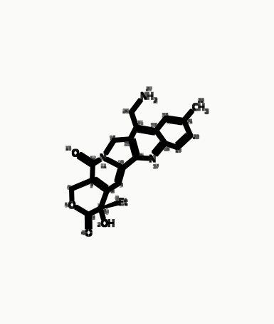 CC[C@@]1(O)C(=O)OCc2c1cc1n(c2=O)Cc2c-1nc1ccc(C)cc1c2CN